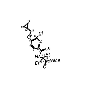 CCC(CC)(NC(=O)c1ccc(OCC2CC2)c(Cl)n1)C(=O)NC